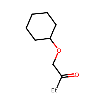 CCC(=O)COC1CCCCC1